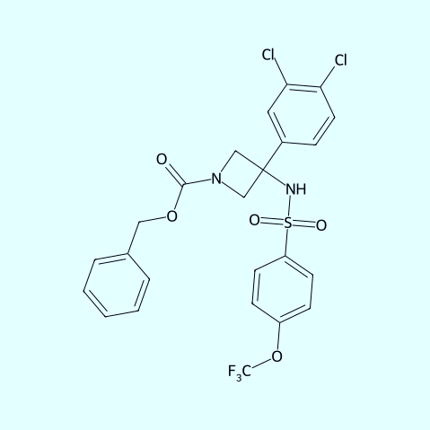 O=C(OCc1ccccc1)N1CC(NS(=O)(=O)c2ccc(OC(F)(F)F)cc2)(c2ccc(Cl)c(Cl)c2)C1